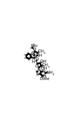 COc1nc(N)nc2c1ncn2[C@@H]1O[C@H](COP(=O)(Nc2ccccc2)N[C@@H](C)C(=O)OCC(C)(C)C)[C@@H](O)[C@@]1(C)O